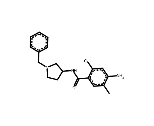 Cc1cc(C(=O)NC2CCN(Cc3ccccc3)C2)c(Cl)cc1N